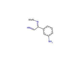 CN/N=C(\C=N)c1cccc(N)c1